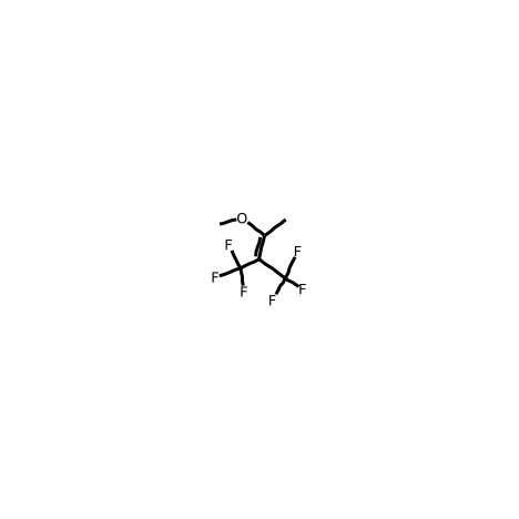 COC(C)=C(C(F)(F)F)C(F)(F)F